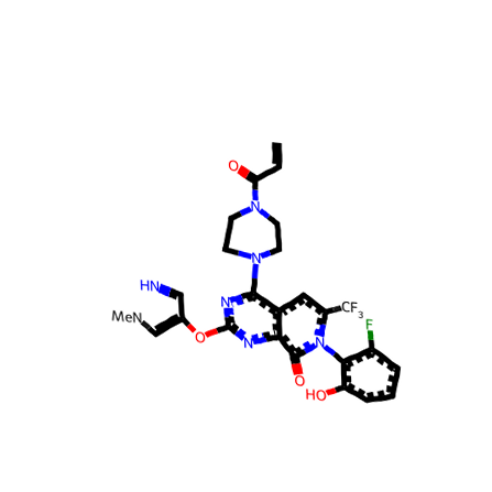 C=CC(=O)N1CCN(c2nc(O/C(C=N)=C/NC)nc3c(=O)n(-c4c(O)cccc4F)c(C(F)(F)F)cc23)CC1